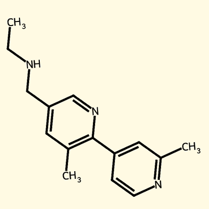 CCNCc1cnc(-c2ccnc(C)c2)c(C)c1